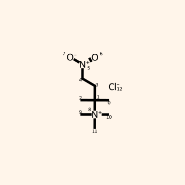 CC(C)(CC[N+](=O)[O-])[N+](C)(C)C.[Cl-]